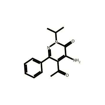 CC(=O)c1c(-c2ccccc2)nn(C(C)C)c(=O)c1N